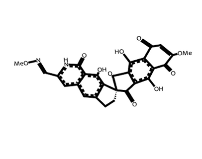 CON=Cc1cc2cc3c(c(O)c2c(=O)[nH]1)[C@@]1(CC3)C(=O)c2c(O)c3c(c(O)c2C1=O)C(=O)C(OC)=CC3=O